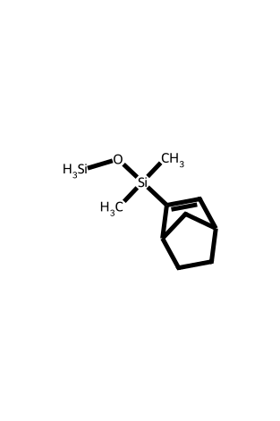 C[Si](C)(O[SiH3])C1=CC2CCC1C2